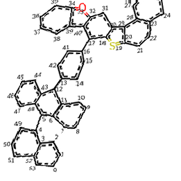 c1ccc2c(-c3c4ccccc4c(-c4ccc(-c5c6sc7ccc8ccccc8c7c6cc6oc7ccccc7c56)cc4)c4ccccc34)cccc2c1